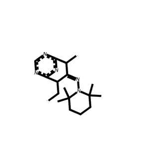 [CH2]CC1C(=NN2C(C)(C)CCCC2(C)C)C([CH2])c2ncnc1n2